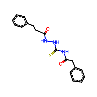 O=C(CCc1ccccc1)NNC(=S)NC(=O)Cc1ccccc1